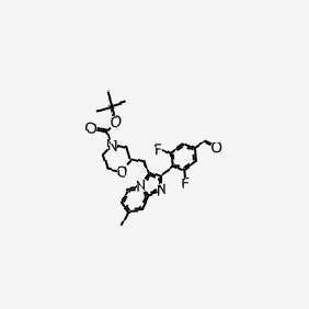 Cc1ccn2c(CC3CN(C(=O)OC(C)(C)C)CCO3)c(-c3c(F)cc(C=O)cc3F)nc2c1